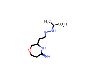 C[C@H](NNCCC1COCCC(=N)N1)C(=O)O